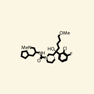 CNCC(CC1CCCC1)NC(=O)N1CCC[C@@H]([C@@](O)(CCCCOC)c2cccc(F)c2Cl)C1